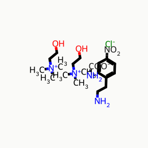 C[N+](C)(C)CCO.C[N+](C)(C)CCO.NC(=O)[O-].NCCc1ccc([N+](=O)[O-])cc1.[Cl-]